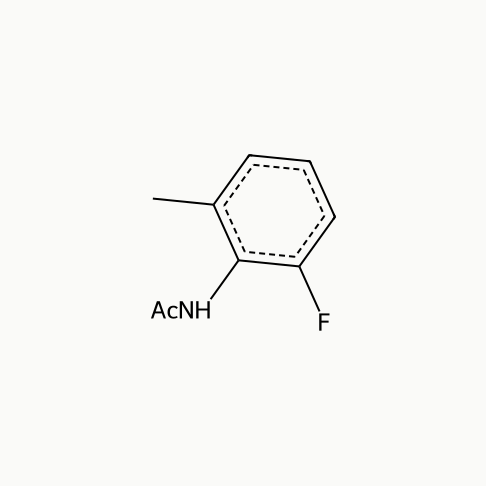 CC(=O)Nc1c(C)cccc1F